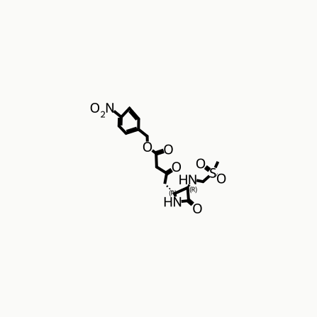 CS(=O)(=O)CN[C@H]1C(=O)N[C@@H]1CC(=O)CC(=O)OCc1ccc([N+](=O)[O-])cc1